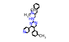 Cc1cccc(-c2cnc(NC[C@H](Cc3ccccc3)N(C)C)nc2-c2ccncc2)c1